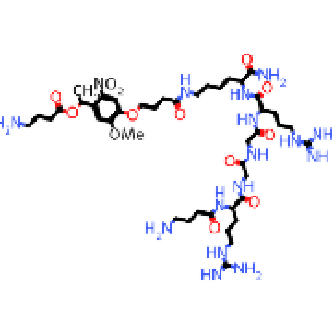 COc1cc(C(C)OC(=O)CCCN)c([N+](=O)[O-])cc1OCCCC(=O)NCCCCC(NC(=O)C(CCCNC(=N)N)NC(=O)CNC(=O)CNC(=O)C(CCCNC(=N)N)NC(=O)CCCN)C(N)=O